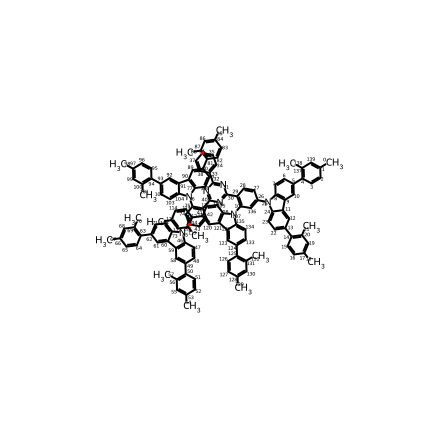 Cc1ccc(-c2ccc3c(c2)c2cc(-c4ccc(C)cc4C)ccc2n3-c2ccc(-c3nc(-c4ccccc4)nc(-c4ccc(-n5c6ccc(-c7ccc(C)cc7C)cc6c6cc(-c7ccc(C)cc7C)ccc65)cc4-n4c5ccc(-c6ccc(C)cc6C)cc5c5cc(-c6ccc(C)cc6C)ccc54)n3)c(-n3c4ccc(-c5ccc(C)cc5C)cc4c4cc(-c5ccc(C)cc5C)ccc43)c2)c(C)c1